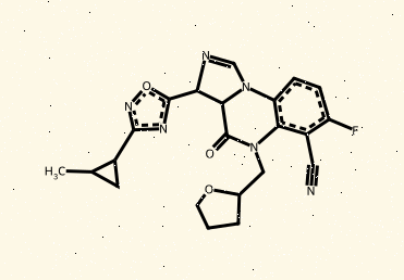 CC1CC1c1noc(C2N=CN3c4ccc(F)c(C#N)c4N(CC4CCCO4)C(=O)C23)n1